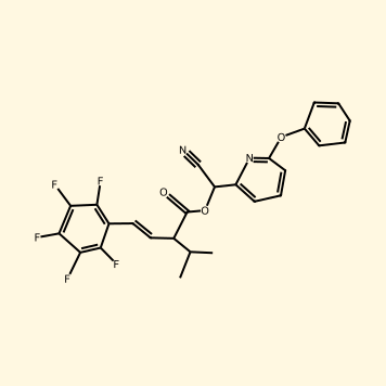 CC(C)C(C=Cc1c(F)c(F)c(F)c(F)c1F)C(=O)OC(C#N)c1cccc(Oc2ccccc2)n1